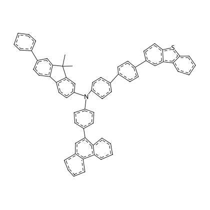 CC1(C)c2cc(-c3ccccc3)ccc2-c2ccc(N(c3ccc(-c4ccc(-c5ccc6sc7ccccc7c6c5)cc4)cc3)c3ccc(-c4cc5ccccc5c5ccccc45)cc3)cc21